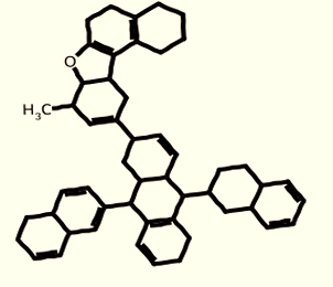 CC1C=C(C2C=CC3C(C2)C(C2=CC4C=CCCC4C=C2)C2=C(CCC=C2)C3C2CCC3C=CC=CC3C2)CC2C3=C(CCC4=C3CCCC4)OC12